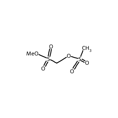 COS(=O)(=O)COS(C)(=O)=O